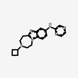 c1cnc(Nc2ccc3c(c2)nc2n3CCN(C3CCC3)CC2)cn1